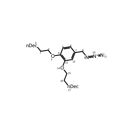 CCCCCCCCCCCCOc1ccc(CN=[N+]=[N-])cc1OCCCCCCCCCCCC